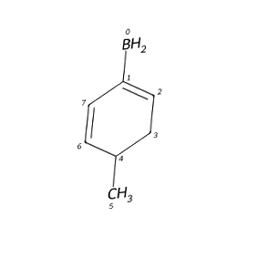 BC1=CCC(C)C=C1